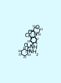 NC1(C(=O)Nc2ccc(N3CCOCC3=O)c(Cl)c2)CCCCC1